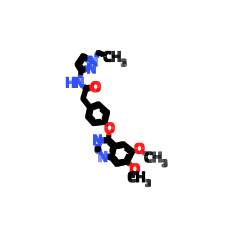 CCn1ccc(NC(=O)Cc2ccc(Oc3ncnc4cc(OC)c(OC)cc34)cc2)n1